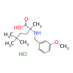 COc1cccc(CNC(C)(CCC(C)(C)C)C(=O)O)c1.Cl